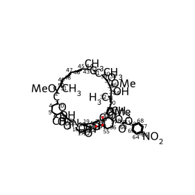 CO[C@H]1CC2CC[C@@H](C)C(O)(O2)C(=O)C(=O)N2CCCC3[C@H]2C(=O)O[C@@H](CC(=O)[C@H](C)/C=C(\C)[C@@H](O)[C@@H](OC)C(=O)[C@H](C)CC[C@H](C)/C=C/C=C/C=C/1C)[C@H]3C[C@@H]1CC[C@@H](OC(=O)Oc2ccc([N+](=O)[O-])cc2)[C@H](OC)C1